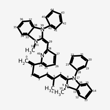 C=C(\C=C/C=C(C)/C=C1\N(C)c2ccccc2N1c1ccccc1)c1cccc(/C=C2\N(C)c3ccccc3N2c2ccccc2)n1